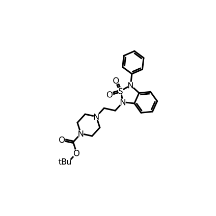 CC(C)(C)OC(=O)N1CCN(CCN2c3ccccc3N(c3ccccc3)S2(=O)=O)CC1